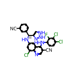 N#Cc1cccc([C@H](Nc2cc(Cl)c3ncc(C#N)c(Nc4ccc(Cl)c(Cl)c4F)c3c2)C2=CNNN2)c1